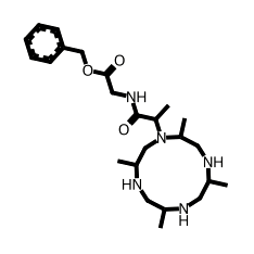 CC1CNC(C)CN(C(C)C(=O)NCC(=O)OCc2ccccc2)C(C)CNC(C)CN1